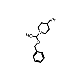 CC(C)C1CCN(C(O)OCc2ccccc2)CC1